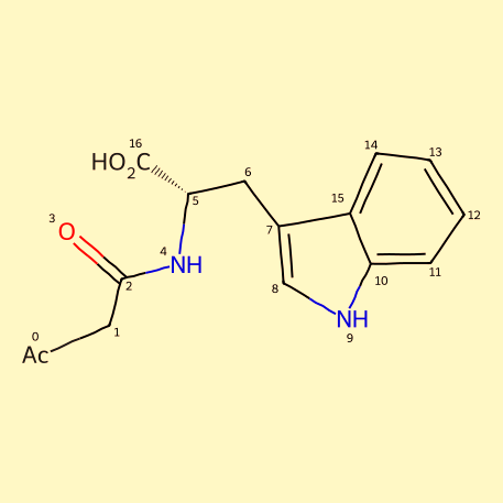 CC(=O)CC(=O)N[C@@H](Cc1c[nH]c2ccccc12)C(=O)O